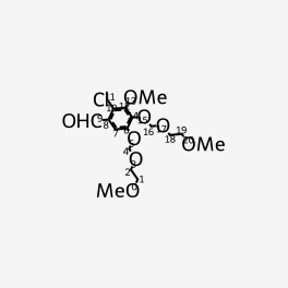 COCCOCOc1cc(C=O)c(Cl)c(OC)c1OCOCCOC